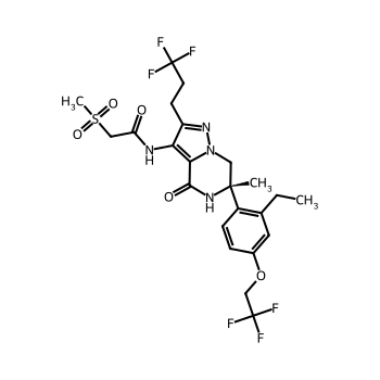 CCc1cc(OCC(F)(F)F)ccc1[C@@]1(C)Cn2nc(CCC(F)(F)F)c(NC(=O)CS(C)(=O)=O)c2C(=O)N1